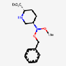 CCOC(=O)[C@@H]1CC[C@@H](N(OCc2ccccc2)OC(C)(C)C)CN1